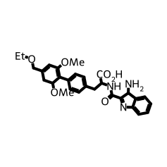 CCOCC1=CC(OC)=C(c2ccc(CC(NC(=O)C3=Nc4ccccc4C3N)C(=O)O)cc2)C(OC)C1